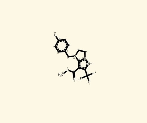 COC(=O)c1c(C(F)(F)F)nn2c1N(Cc1ccc(F)cc1)CC2